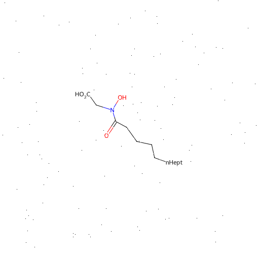 CCCCCCCCCCCC(=O)N(O)CC(=O)O